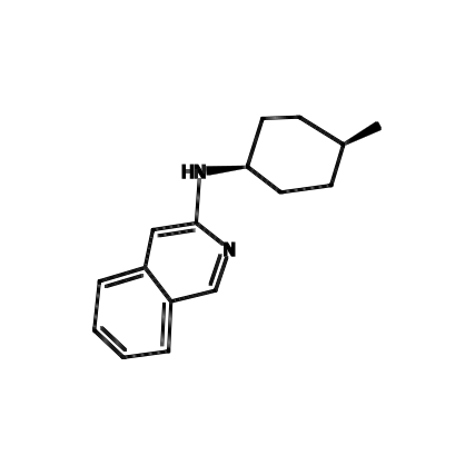 C[C@H]1CC[C@@H](Nc2cc3ccccc3cn2)CC1